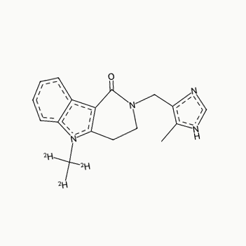 [2H]C([2H])([2H])n1c2c(c3ccccc31)C(=O)N(Cc1nc[nH]c1C)CC2